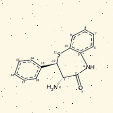 N[C@H]1C(=O)Nc2ccccc2S[C@@H]1c1ccccc1